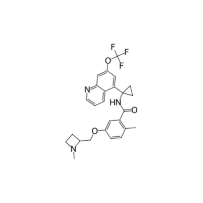 Cc1ccc(OCC2CCN2C)cc1C(=O)NC1(c2cc(OC(F)(F)F)cc3ncccc23)CC1